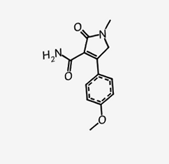 COc1ccc(C2=C(C(N)=O)C(=O)N(C)C2)cc1